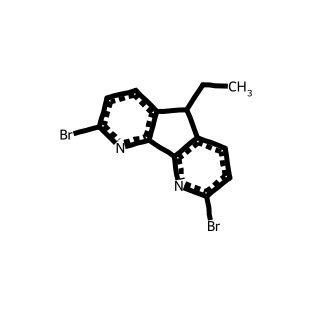 CCC1c2ccc(Br)nc2-c2nc(Br)ccc21